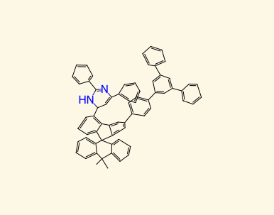 CC1(C)c2ccccc2C2(c3ccc(-c4ccc(-c5cc(-c6ccccc6)cc(-c6ccccc6)c5)cc4)cc3-c3c(C4C=C(c5ccccc5)N=C(c5ccccc5)N4)cccc32)c2ccccc21